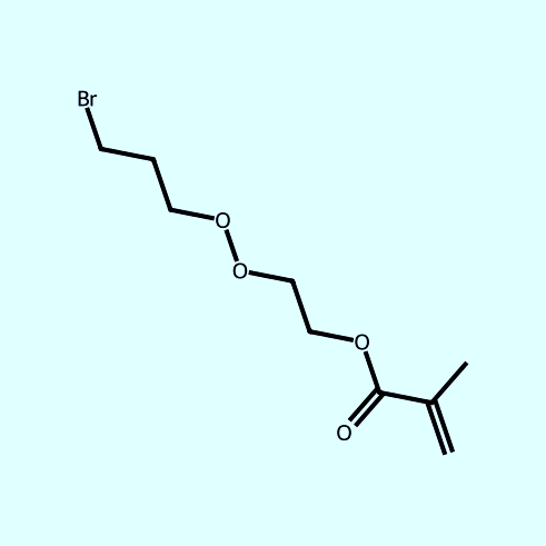 C=C(C)C(=O)OCCOOCCCBr